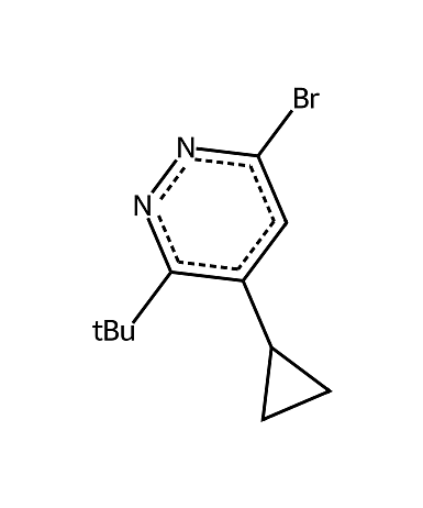 CC(C)(C)c1nnc(Br)cc1C1CC1